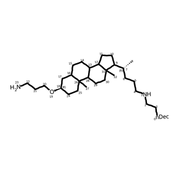 CCCCCCCCCCCCNCCC[C@@H](C)C1CCC2C3CCC4C[C@H](OCCCN)CCC4(C)C3CCC21C